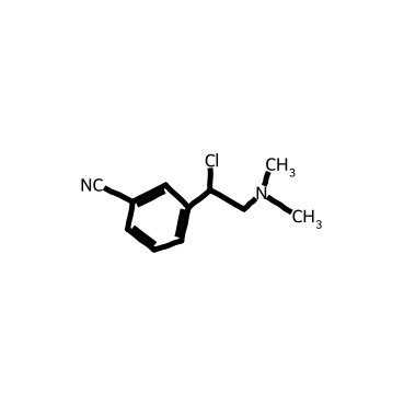 CN(C)CC(Cl)c1cccc(C#N)c1